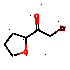 O=C(CBr)C1CCCO1